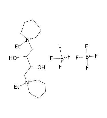 CC[N+]1(CC(O)C(O)C[N+]2(CC)CCCCC2)CCCCC1.F[B-](F)(F)F.F[B-](F)(F)F